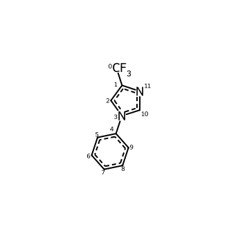 FC(F)(F)c1cn(-c2ccccc2)cn1